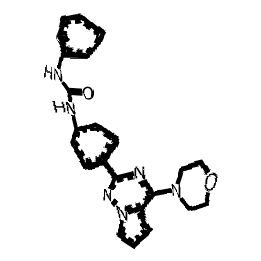 O=C(Nc1ccccc1)Nc1ccc(-c2nc(N3CCOCC3)c3cccn3n2)cc1